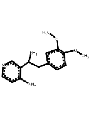 COc1ccc(CC(N)c2cnccc2N)cc1OC